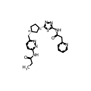 CCC(=O)Nc1ccc(C[C@@H]2CC[C@H](c3nnc(NC(=O)Cc4ccccn4)s3)C2)nn1